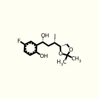 CC1(C)OC[C@@H]([C@@H](I)C[C@@H](O)c2cc(F)ccc2O)O1